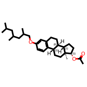 CC(=O)O[C@H]1CC[C@H]2[C@@H]3CCc4cc(OCC(C)CC(C)CC(C)C)ccc4[C@H]3CC[C@]12C